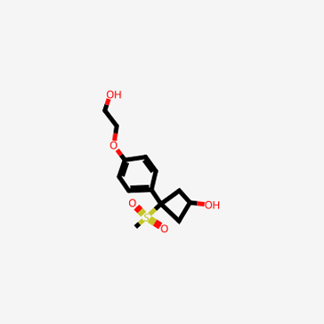 CS(=O)(=O)C1(c2ccc(OCCO)cc2)CC(O)C1